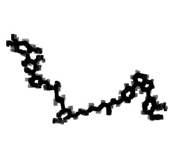 COc1ncc(-c2ccc3nccc(-c4ccc(COC(=O)CCCSSCC(CC(=O)CCC(=O)NCc5cc(C(=O)NC(C)C(=O)N6CC(F)(F)C[C@H]6C#N)ccn5)C(=O)O)nc4)c3c2)cc1N